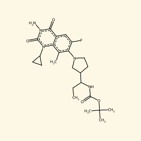 CCC(NC(=O)OC(C)(C)C)C1CCN(c2c(F)cc3c(=O)n(N)c(=O)n(C4CC4)c3c2C)C1